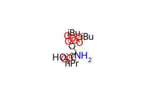 CCCC(=O)O[C@@H](C)CC(N)(Cc1ccc(OC(=O)OC(C)CC)c(OC(=O)OC(C)CC)c1)C(=O)O